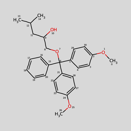 COc1ccc(C(OCC(O)CC(C)C)(c2ccccc2)c2ccc(OC)cc2)cc1